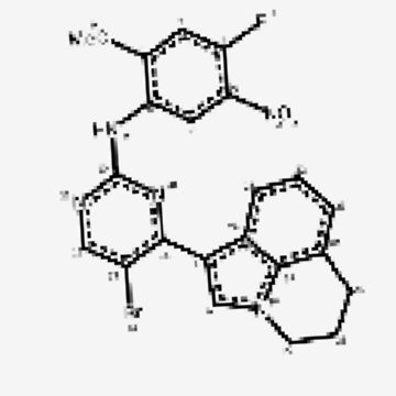 COc1cc(F)c([N+](=O)[O-])cc1Nc1ncc(Br)c(-c2cn3c4c(cccc24)CCC3)n1